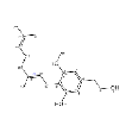 COc1cc(CCO)cc(O)c1C/C=C(\C)CCC=C(C)C